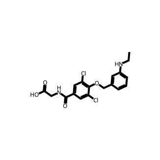 CCNc1cccc(COc2c(Cl)cc(C(=O)NCC(=O)O)cc2Cl)c1